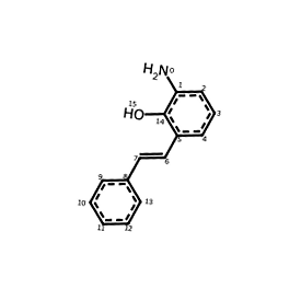 Nc1cccc(C=Cc2ccccc2)c1O